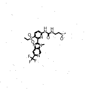 CCS(=O)(=O)c1ccc(NC(=O)NCC[S+](C)[O-])nc1-c1nc2cc(C(F)(F)F)ncc2n1C